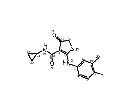 Cc1ccc(NC2=C(C(=O)NC3CC3)C(=O)CS2)cc1C